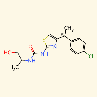 CC(CO)NC(=O)Nc1nc([C@@H](C)c2ccc(Cl)cc2)cs1